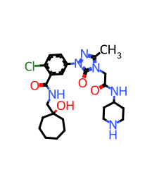 Cc1nn(-c2ccc(Cl)c(C(=O)NCC3(O)CCCCCC3)c2)c(=O)n1CC(=O)NC1CCNCC1